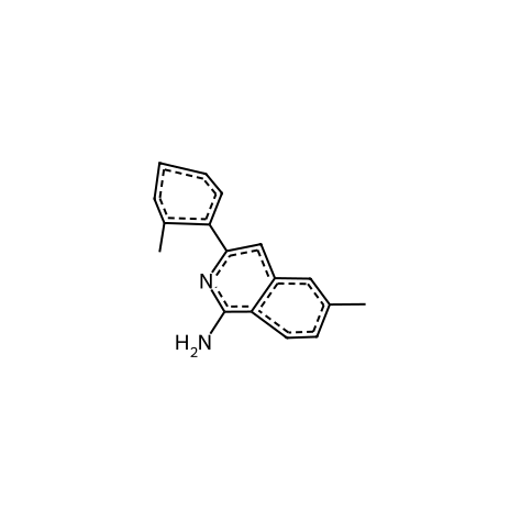 Cc1ccc2c(N)nc(-c3ccccc3C)cc2c1